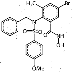 COc1ccc(S(=O)(=O)N(Cc2ccccc2)c2c(C)cc(Br)cc2C(=O)NO)cc1